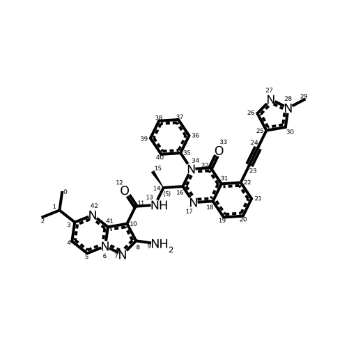 CC(C)c1ccn2nc(N)c(C(=O)N[C@@H](C)c3nc4cccc(C#Cc5cnn(C)c5)c4c(=O)n3-c3ccccc3)c2n1